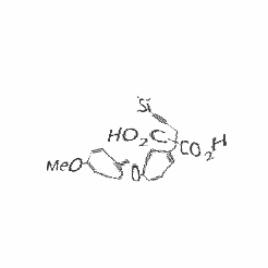 COc1ccc(COc2cccc(C(CC#C[Si](C)(C)C)(C(=O)O)C(=O)O)c2)cc1